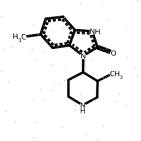 Cc1ccc2[nH]c(=O)n(C3CCNCC3C)c2c1